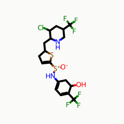 [O-][S+](NC1=CC=C(C(F)(F)F)C(O)C1)C1=CCC(CC2NCC(C(F)(F)F)CC2Cl)S1